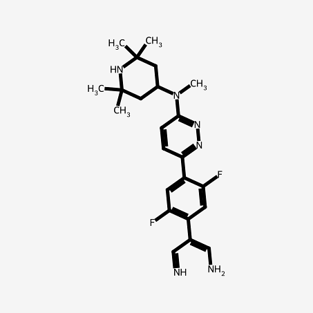 CN(c1ccc(-c2cc(F)c(/C(C=N)=C/N)cc2F)nn1)C1CC(C)(C)NC(C)(C)C1